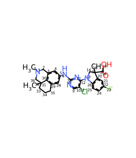 CN1Cc2cc(Nc3ncc(Cl)c(N4CC(C)(C(=O)O)c5cc(F)ccc54)n3)cc3c2C(C)(CCC3)C1